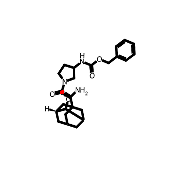 NC(=O)C12CC3CC(C1)C(OC(=O)N1CCC(NC(=O)OCc4ccccc4)C1)[C@H](C3)C2